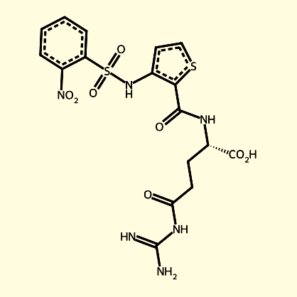 N=C(N)NC(=O)CC[C@H](NC(=O)c1sccc1NS(=O)(=O)c1ccccc1[N+](=O)[O-])C(=O)O